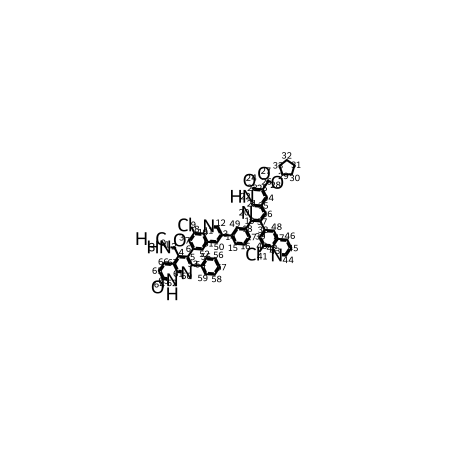 CNC(=O)c1c(-c2cc(Cl)c3ncc(-c4cccc(-c5nc6[nH]c(=O)c(C(=O)OC7CCCC7)cc6cc5-c5cc(Cl)c6ncccc6c5)c4)cc3c2)c(-c2ccccc2)nc2[nH]c(=O)ccc12